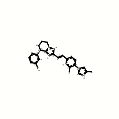 Cc1cn(-c2ccc(/C=C/c3nc4n(n3)CCC[C@@H]4c3cccc(F)c3)nc2C)cn1